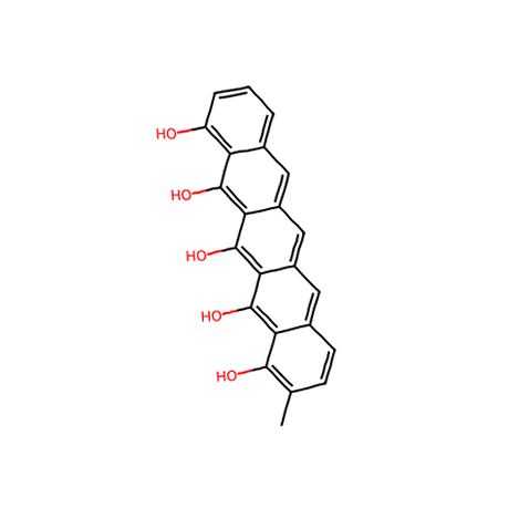 Cc1ccc2cc3cc4cc5cccc(O)c5c(O)c4c(O)c3c(O)c2c1O